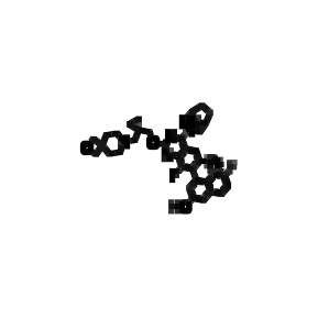 CCc1c(F)ccc2cc(O)cc(-c3c(C(C)C)cc4c(N5CC6CCC(C5)N6)nc(OCC5(CN6CCC7(CC6)COC7)CC5)nc4c3F)c12